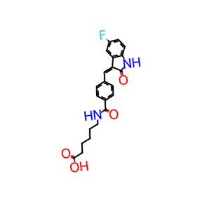 O=C(O)CCCCCNC(=O)c1ccc(/C=C2\C(=O)Nc3ccc(F)cc32)cc1